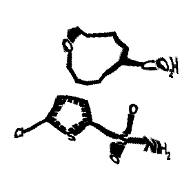 NS(=O)(=O)c1ccc(Cl)s1.O=C(O)C1CCOCC1